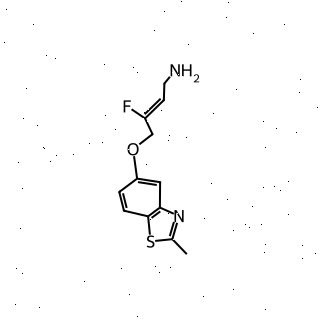 Cc1nc2cc(OC/C(F)=C/CN)ccc2s1